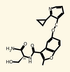 Cc1oc2ccc(OCc3cccnc3C3CC3)cc2c1C(=O)N[C@@H](CO)C(N)=O